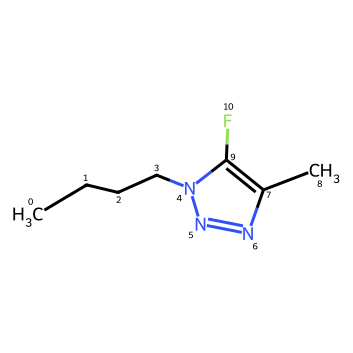 CCCCn1nnc(C)c1F